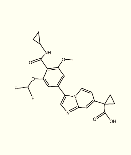 COc1cc(-c2cnc3cc(C4(C(=O)O)CC4)ccn23)cc(OC(F)F)c1C(=O)NC1CC1